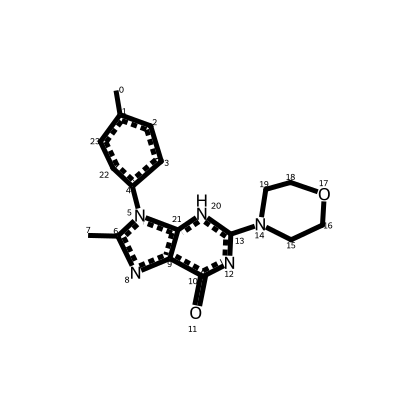 Cc1ccc(-n2c(C)nc3c(=O)nc(N4CCOCC4)[nH]c32)cc1